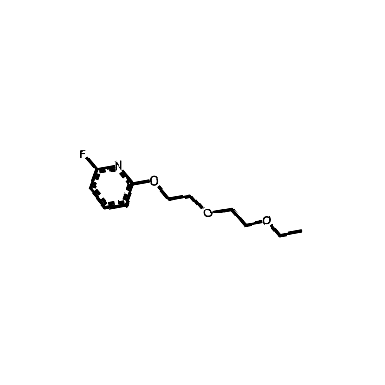 CCOCCOCCOc1cccc(F)n1